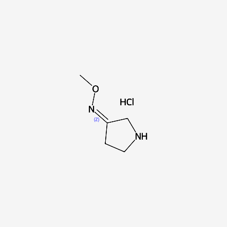 CO/N=C1/CCNC1.Cl